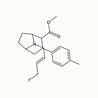 COC(=O)C1C(c2ccc(C)cc2)CC2CCC1N2C/C=C/CF